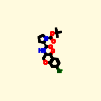 CC(C)(C)OC(=O)N1CCC[C@H]1C(=O)NC1COc2cc(Br)ccc2C1=O